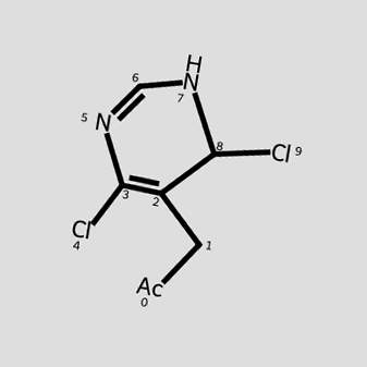 CC(=O)CC1=C(Cl)N=CNC1Cl